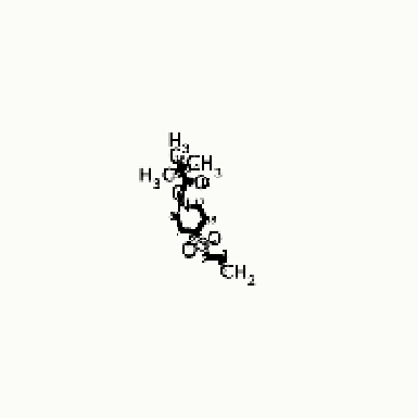 C=CCS(=O)(=O)C1CCN(OC(=O)C(C)(C)C)CC1